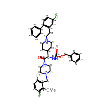 COc1c(F)ccc(F)c1CN1CCN(C(=O)[C@H](NC(=O)OCc2ccccc2)C2CCN(CCc3cc(Cl)ccc3-c3ccccc3)CC2)CC1